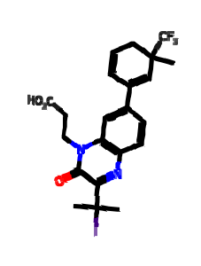 CC(C)(I)c1nc2ccc(C3=CC(C)(C(F)(F)F)CC=C3)cc2n(CCC(=O)O)c1=O